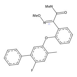 CNC(=O)/C(=N\OC)c1ccccc1Oc1cc(-c2ccccc2)c(F)cc1C